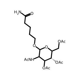 CC(=O)NC1C(OCCCCC(N)=O)OC(COC(C)=O)[C@H](OC(C)=O)C1OC(C)=O